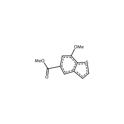 COC(=O)c1cc(OC)c2sccc2c1